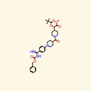 COC(=O)C(OC(=O)C(C)(C)C)C1CCN(C(=O)C2CCN(c3ccc(C(=N)NC(=O)OCc4ccccc4)cc3)CC2)CC1